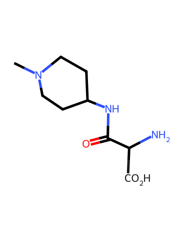 CN1CCC(NC(=O)C(N)C(=O)O)CC1